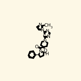 Cc1nccn1-c1cc(N2CCC3(CC2)O[C@@H]2CC[C@@H](c4ccccc4)N2C3=O)ncn1